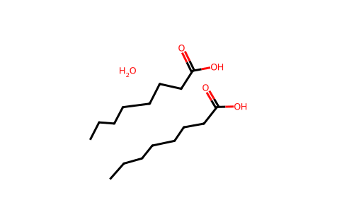 CCCCCCCC(=O)O.CCCCCCCC(=O)O.O